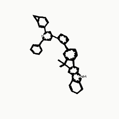 CC1(C)c2cc(-c3cccc(-c4cc(C5=CC6CC6C=C5)nc(C5=CC=CCC5)c4)c3)ccc2-c2cc3[nH]c4c(c3cc21)C=CCC4